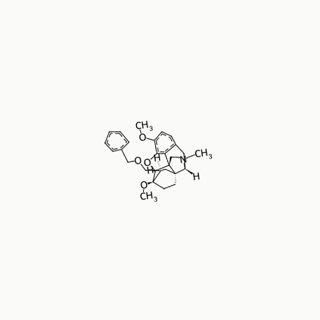 COc1ccc2c3c1O[C@H]1[C@@]4(OC)CC[C@@]5(C[C@@H]4COCc4ccccc4)[C@@H](C2)N(C)CC[C@]315